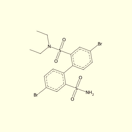 CCN(CC)S(=O)(=O)c1cc(Br)ccc1-c1ccc(Br)cc1S(N)(=O)=O